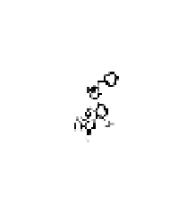 O=C1CN(c2c(O)ccc(-c3cnn(Cc4ccccc4)c3)c2F)S(=O)(=O)N1